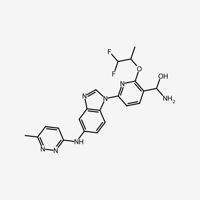 Cc1ccc(Nc2ccc3c(c2)ncn3-c2ccc(C(N)O)c(OC(C)C(F)F)n2)nn1